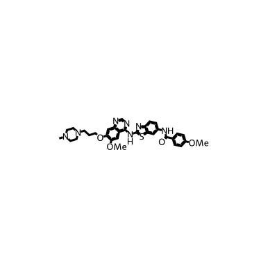 COc1ccc(C(=O)Nc2ccc3nc(Nc4ncnc5cc(OCCCN6CCN(C)CC6)c(OC)cc45)sc3c2)cc1